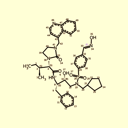 CC[C@H](C)[C@@H](C(=O)N[C@@H](Cc1ccccc1)[C@H](O)CN(CC1CCCC1)S(=O)(=O)c1ccc(/C=N/O)cc1)N1CCN(Cc2ccnc3ccccc23)C1=O